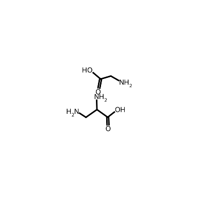 NCC(=O)O.NCC(N)C(=O)O